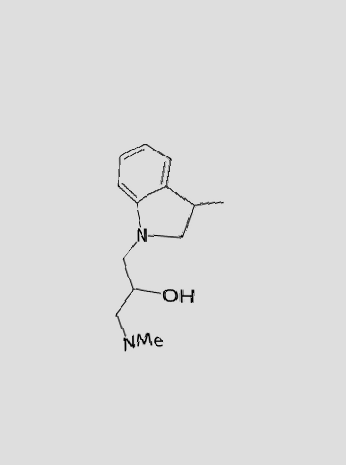 CNCC(O)CN1CC(C)c2ccccc21